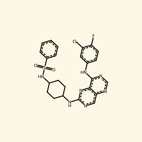 O=S(=O)(NC1CCC(Nc2ncc3ncnc(Nc4ccc(F)c(Cl)c4)c3n2)CC1)c1ccccc1